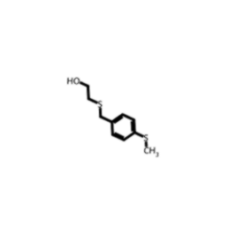 CSc1ccc(CSCCO)cc1